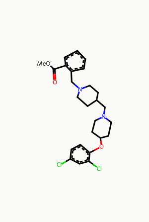 COC(=O)c1ccccc1CN1CCC(CN2CCC(Oc3ccc(Cl)cc3Cl)CC2)CC1